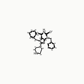 O=c1[nH]c(=O)n(Cc2ccccc2)c2nc(N3CCNCC3)n(Cc3ccccc3)c12